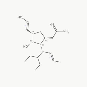 C/C=N/C(C(CC)CC)[C@H]1[C@H](CC(=N)N)C[C@H](/C=N/O)[C@H]1O